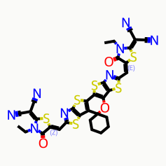 CCn1c(=C(C#N)C#N)s/c(=C\c2nc3sc4c(c3s2)C2(CCCCC2)Oc2c-4sc3nc(/C=c4/sc(=C(C#N)C#N)n(CC)c4=O)sc23)c1=O